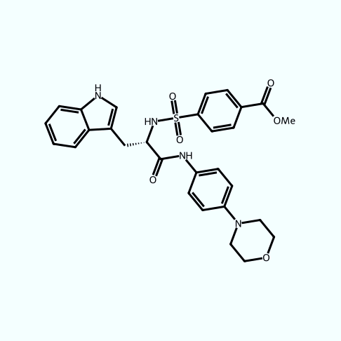 COC(=O)c1ccc(S(=O)(=O)N[C@@H](Cc2c[nH]c3ccccc23)C(=O)Nc2ccc(N3CCOCC3)cc2)cc1